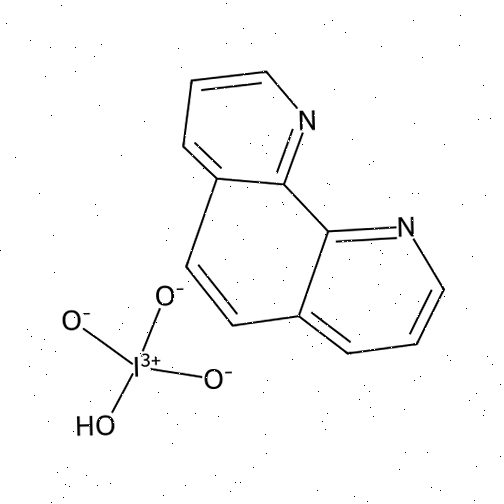 [O-][I+3]([O-])([O-])O.c1cnc2c(c1)ccc1cccnc12